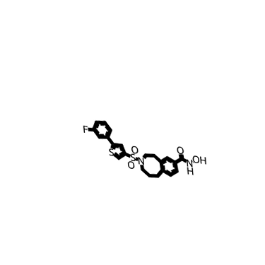 O=C(NO)c1ccc2c(c1)CCN(S(=O)(=O)c1csc(-c3cccc(F)c3)c1)CCC2